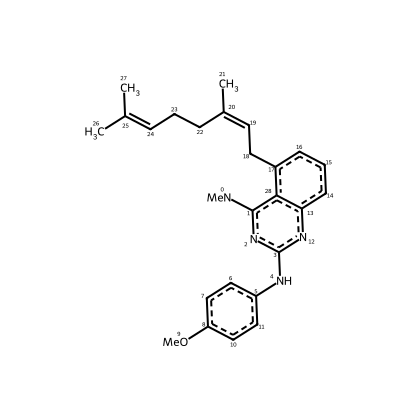 CNc1nc(Nc2ccc(OC)cc2)nc2cccc(CC=C(C)CCC=C(C)C)c12